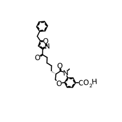 CN1C(=O)[C@@H](CCCCC(=O)c2cc(Cc3ccccc3)on2)COc2ccc(C(=O)O)cc21